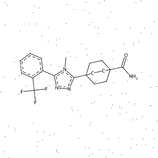 Cn1c(-c2ccccc2C(F)(F)F)nnc1C12CCC(C(N)=O)(CC1)CC2